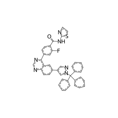 O=C(Nc1nccs1)c1ccc(-c2ncnc3ccc(-c4cnn(C(c5ccccc5)(c5ccccc5)c5ccccc5)c4)cc23)cc1F